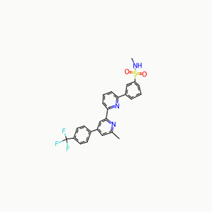 CNS(=O)(=O)c1cccc(-c2cccc(-c3cc(-c4ccc(C(F)(F)F)cc4)cc(C)n3)n2)c1